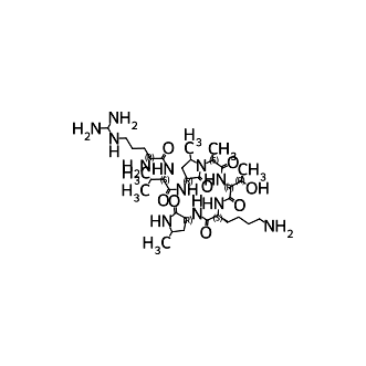 CC1C[C@@H](NC(=O)[C@H](CCCCN)NC(=O)[C@H](NC(=O)[C@H](C)N2C(=O)[C@H](NC(=O)[C@@H](NC(=O)[C@H](N)CCCNC(N)N)C(C)C)CC2C)[C@@H](C)O)C(=O)N1